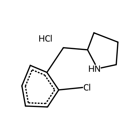 Cl.Clc1ccccc1CC1CCCN1